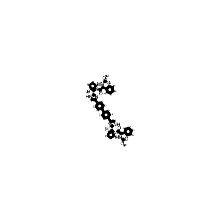 COC(=O)N[C@H](C(=O)N1[C@@H]2CC[C@@H](C2)[C@H]1c1nc(-c2ccc(-c3ccc(-c4c[nH]c([C@@H]5[C@H]6CC[C@H](C6)N5C(=O)[C@@H](NC(=O)OC)c5ccccc5)n4)cc3)cc2)c[nH]1)c1ccccc1